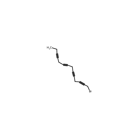 CCC#CCC#CCC#CCC#CCBr